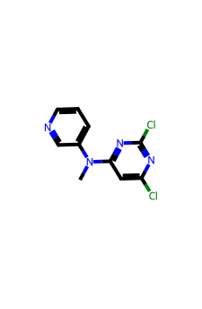 CN(c1cccnc1)c1cc(Cl)nc(Cl)n1